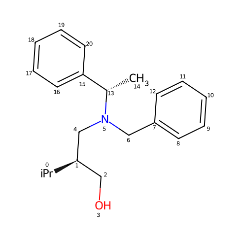 CC(C)[C@H](CO)CN(Cc1ccccc1)[C@@H](C)c1ccccc1